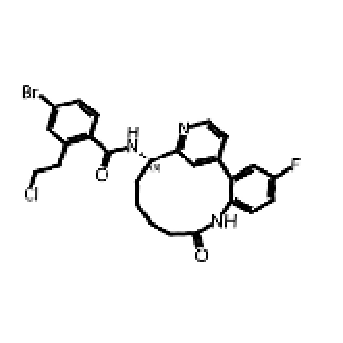 O=C1CCCC[C@H](NC(=O)c2ccc(Br)cc2CCCl)c2cc(ccn2)-c2cc(F)ccc2N1